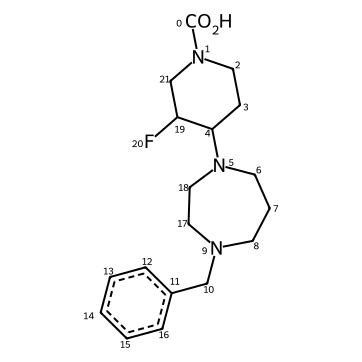 O=C(O)N1CCC(N2CCCN(Cc3ccccc3)CC2)C(F)C1